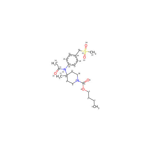 CCCCOC(=O)N1CCC(C)(N(C(C)=O)c2ccc(CS(C)(=O)=O)cc2)CC1